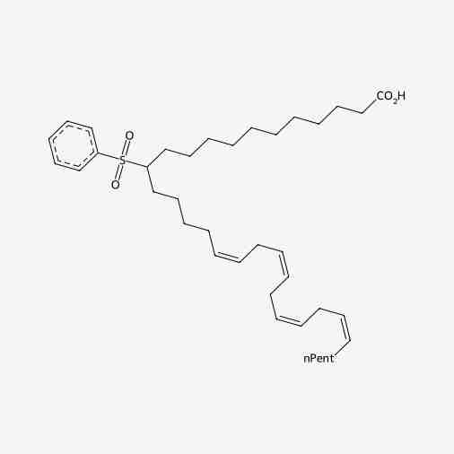 CCCCC/C=C\C/C=C\C/C=C\C/C=C\CCCCC(CCCCCCCCCCC(=O)O)S(=O)(=O)c1ccccc1